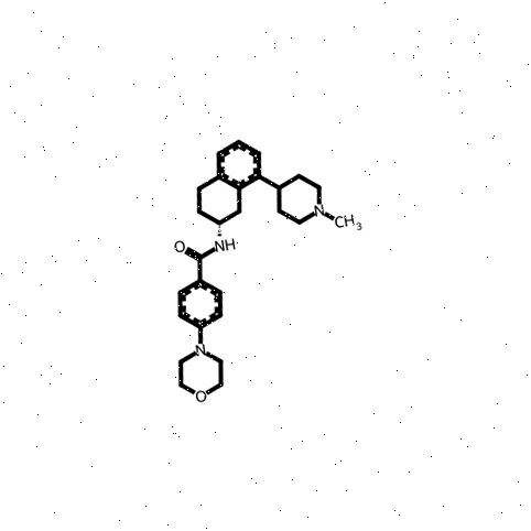 CN1CCC(c2cccc3c2C[C@H](NC(=O)c2ccc(N4CCOCC4)cc2)CC3)CC1